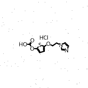 Cl.O=C(O)Oc1ccc(OCCn2ccnc2)s1